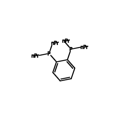 CCCP(CCC)c1ccccc1P(CCC)CCC